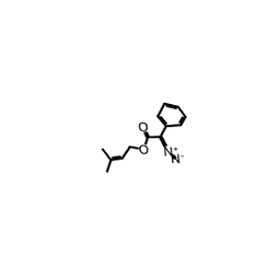 CC(C)=CCOC(=O)C(=[N+]=[N-])c1ccccc1